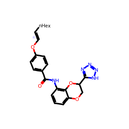 CCCCCC/C=C/Oc1ccc(C(=O)Nc2cccc3c2OC(c2nnn[nH]2)CO3)cc1